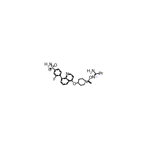 C=C(O/N=C(\N)C(C)C)N1CCC(Oc2ccnc3c(-c4ccc(S(N)(=O)=O)cc4F)cccc23)CC1